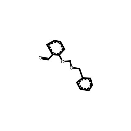 O=Cc1ccccc1OCOCc1ccccc1